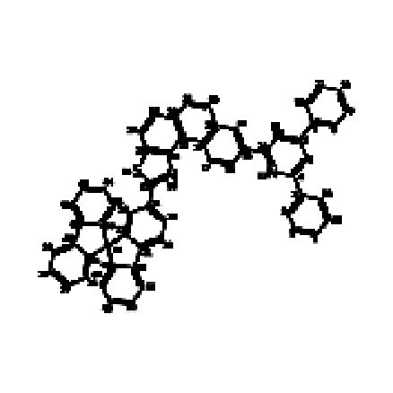 c1ccc(-c2cc(-c3ccccc3)nc(-c3ccc4c(ccc5ccc6sc(-c7ccc8c(c7)C7(c9ccccc9-c9ccccc97)c7ccccc7-8)nc6c54)c3)n2)cc1